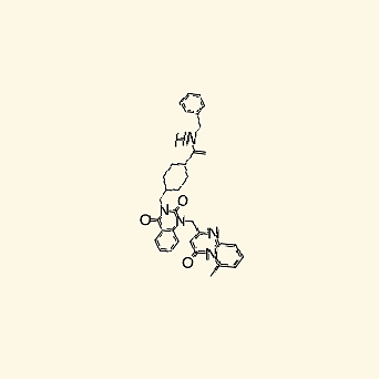 C=C(NCc1ccccc1)C1CCC(Cn2c(=O)c3ccccc3n(Cc3cc(=O)n4c(C)cccc4n3)c2=O)CC1